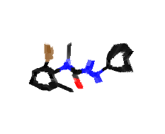 Cc1cccc(Br)c1N(C)C(=O)NNc1ccccc1